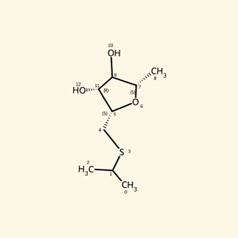 CC(C)SC[C@H]1O[C@@H](C)C(O)[C@H]1O